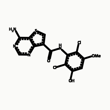 COc1cc(O)c(Cl)c(NC(=O)c2csc3c(N)ncnc23)c1Cl